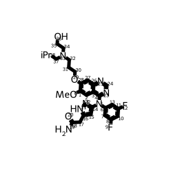 COc1cc2c(N(c3cc(F)cc(F)c3)c3cc(CC(N)=O)[nH]n3)ncnc2cc1OCCCN(CCO)CC(C)C